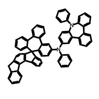 c1ccc(N(c2ccc3c(c2)-c2ccccc2-c2ccccc2N3c2ccccc2)c2ccc3c(c2)-c2ccccc2-c2ccccc2C32c3ccccc3-c3c2ccc2c3-c3ccccc3C2)cc1